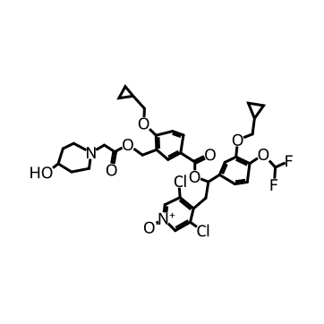 O=C(CN1CCC(O)CC1)OCc1cc(C(=O)OC(Cc2c(Cl)c[n+]([O-])cc2Cl)c2ccc(OC(F)F)c(OCC3CC3)c2)ccc1OCC1CC1